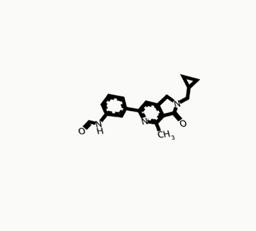 Cc1nc(-c2cccc(NC=O)c2)cc2c1C(=O)N(CC1CC1)C2